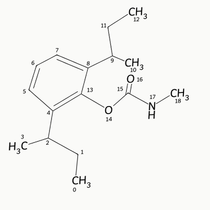 CCC(C)c1cccc(C(C)CC)c1OC(=O)NC